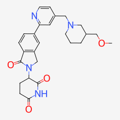 COCC1CCCN(Cc2ccnc(-c3ccc4c(c3)CN(C3CCC(=O)NC3=O)C4=O)c2)C1